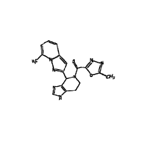 Cc1nnc(C(=O)N2CCc3[nH]cnc3C2c2cc3cccc(C)n3n2)o1